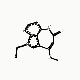 CCn1cc2c3c(ncnc31)NC(=O)C=C2OC